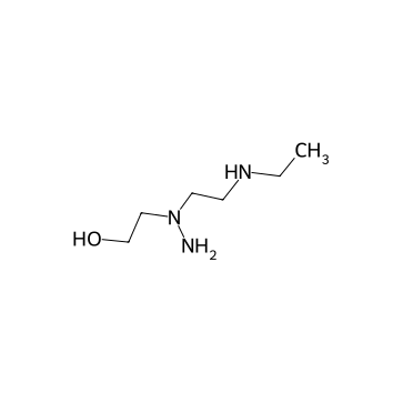 CCNCCN(N)CCO